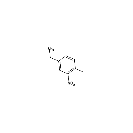 O=[N+]([O-])c1cc(CC(F)(F)F)ccc1F